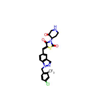 O=C1CNCCC1N1C(=O)SC(=Cc2ccc3c(cnn3Cc3ccc(Cl)cc3C(F)(F)F)c2)C1=O